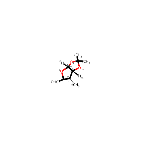 C[C@@H]1C(C=O)O[C@@H]2OC(C)(C)O[C@@H]21